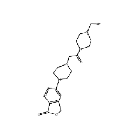 CC(C)CN1CCN(C(=O)CN2CCN(c3ccc4c(c3)COC4=O)CC2)CC1